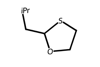 CC(C)CC1OCCS1